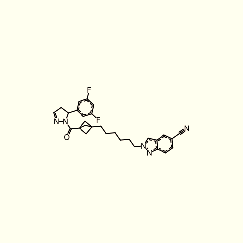 N#Cc1ccc2nn(CCCCCCC34CC(C(=O)N5N=CCC5c5cc(F)cc(F)c5)(C3)C4)cc2c1